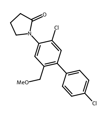 COCc1cc(N2CCCC2=O)c(Cl)cc1-c1ccc(Cl)cc1